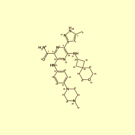 Cc1cc(-c2nc(C(N)=O)c(Nc3ccc(N4CCN(C)CC4)cc3)nc2NC2CC3(CCOCC3)C2)n[nH]1